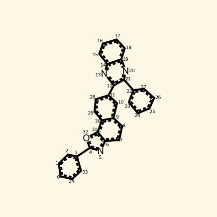 c1ccc(-c2nc3ccc4cc(-c5nc6ccccc6nc5-c5ccccc5)ccc4c3o2)cc1